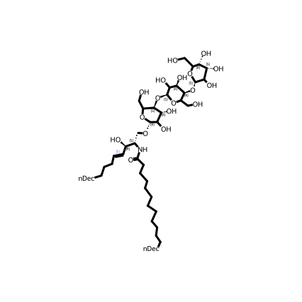 CCCCCCCCCCCCC/C=C/[C@@H](O)[C@H](CO[C@@H]1OC(CO)[C@@H](O[C@@H]2OC(CO)[C@H](O[C@@H]3OC(CO)[C@H](O)[C@H](O)C3O)[C@H](O)C2O)[C@H](O)C1O)NC(=O)CCCCCCCCCCCCCCCCCCCCC